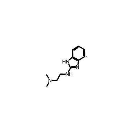 CN(C)CCNc1nc2[c]cccc2[nH]1